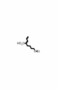 C=CC=C(CCCCOCC)C(=O)O